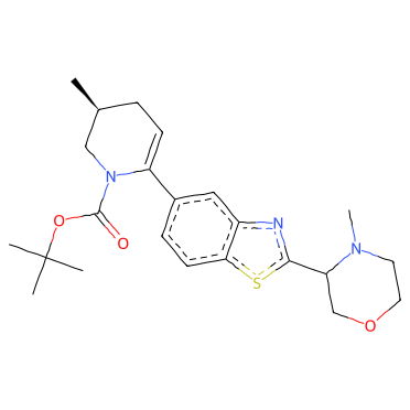 C[C@H]1CC=C(c2ccc3sc(C4COCCN4C)nc3c2)N(C(=O)OC(C)(C)C)C1